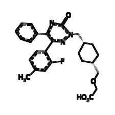 Cc1ccc(-c2nn(C[C@H]3CC[C@@H](COCC(=O)O)CC3)c(=O)nc2-c2ccccc2)c(F)c1